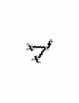 CC(C)CCC(C(C)C)C(C)OC(=O)CCCCCCCC(CCCCCCCC(=O)OC(C)C(CCC(C)C)C(C)C)OC(=O)CC1CC(CN(C)C)C1